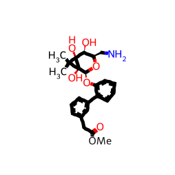 COC(=O)Cc1cccc(-c2ccccc2O[C@H]2O[C@H](CN)[C@@H](O)[C@@]3(O)C(C)(C)[C@@]23O)c1